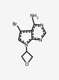 Nc1ncnc2c1c(Br)cn2C1COC1